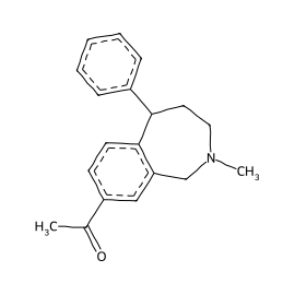 CC(=O)c1ccc2c(c1)CN(C)CCC2c1ccccc1